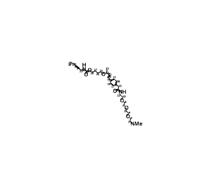 CNCCOCCOCCOCCNC(=O)Cc1ccc(SSC(C)OCCCCOC(=O)NCC#CC(C)C)cc1